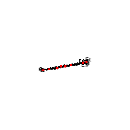 CCO[Si](CCCCCCCCCCCCCCCCCCCCCCCCCCCCCCN=C=O)(OCC)OCC